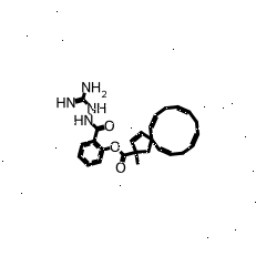 CC1(C(=O)Oc2ccccc2C(=O)NNC(=N)N)C=CC2(/C=C\C/C=C\C/C=C\C/C=C\2)C1